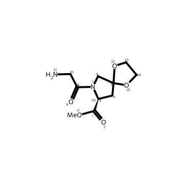 COC(=O)[C@@H]1CC2(CN1C(=O)CN)OCCO2